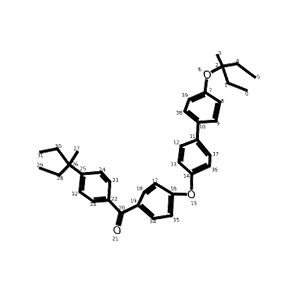 CCC(C)(CC)Oc1ccc(-c2ccc(Oc3ccc(C(=O)c4ccc(C(C)(CC)CC)cc4)cc3)cc2)cc1